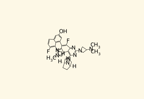 C#Cc1c(F)ccc2cc(O)cc(-c3c(F)c4nc(N5CC(N(C)C)C5)nc(N5C[C@H]6CC[C@@H](C5)N6)c4c4cn(C)nc34)c12